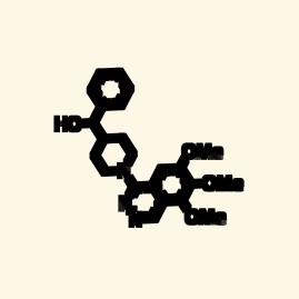 COc1cc2c(N3CCC(C(O)c4ccccc4)CC3)nncc2c(OC)c1OC